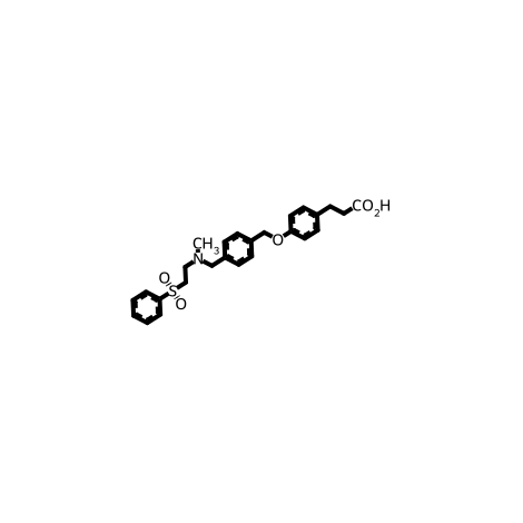 CN(CCS(=O)(=O)c1ccccc1)Cc1ccc(COc2ccc(CCC(=O)O)cc2)cc1